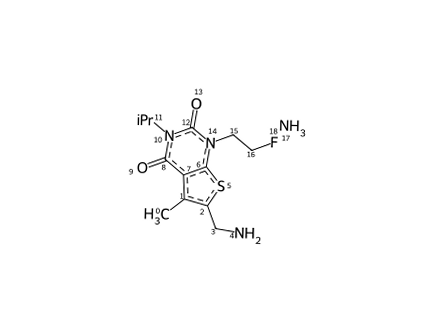 Cc1c(CN)sc2c1c(=O)n(C(C)C)c(=O)n2CCF.N